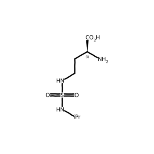 CC(C)NS(=O)(=O)NCC[C@H](N)C(=O)O